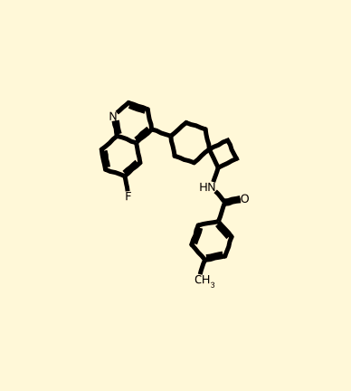 Cc1ccc(C(=O)NC2CCC23CCC(c2ccnc4ccc(F)cc24)CC3)cc1